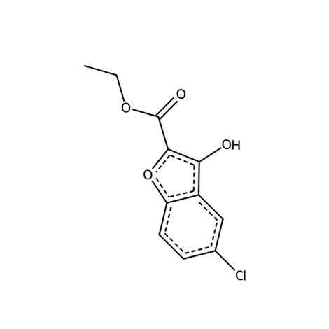 CCOC(=O)c1oc2ccc(Cl)cc2c1O